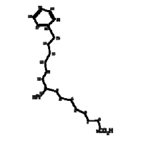 CCCC(CCCCCCCC(=O)O)CCCCCCc1ccccc1